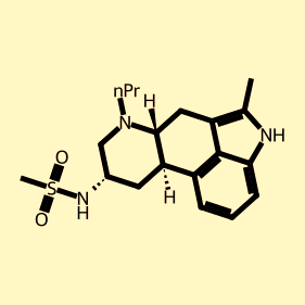 CCCN1C[C@@H](NS(C)(=O)=O)C[C@@H]2c3cccc4[nH]c(C)c(c34)C[C@H]21